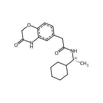 C[C@@H](NC(=O)Cc1ccc2c(c1)NC(=O)CO2)C1CCCCC1